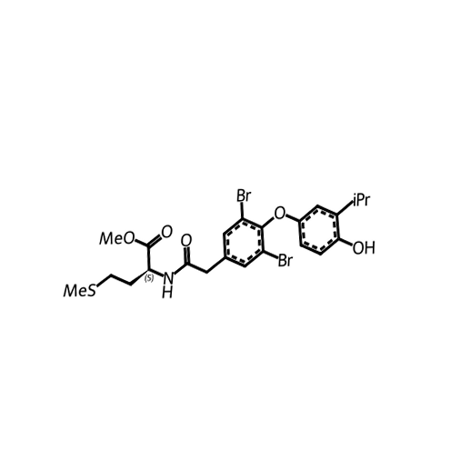 COC(=O)[C@H](CCSC)NC(=O)Cc1cc(Br)c(Oc2ccc(O)c(C(C)C)c2)c(Br)c1